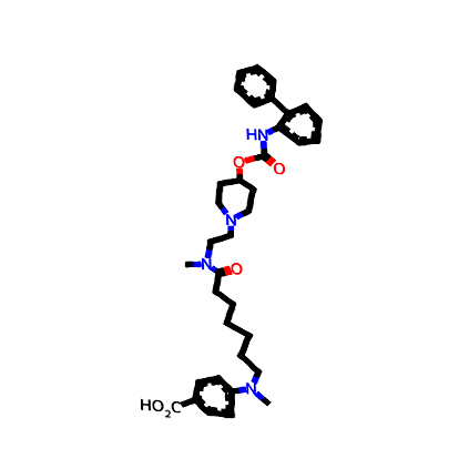 CN(CCN1CCC(OC(=O)Nc2ccccc2-c2ccccc2)CC1)C(=O)CCCCCCN(C)c1ccc(C(=O)O)cc1